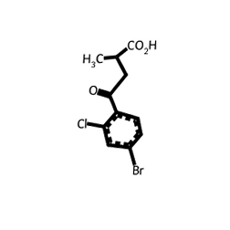 CC(CC(=O)c1ccc(Br)cc1Cl)C(=O)O